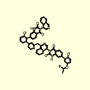 O=c1[nH]c2cc(-c3c(Cl)cccc3-c3ccnc(Cc4ncc(-n5c(=O)[nH]c6cc(-c7cc(OC(F)F)ccc7Cl)ccc6c5=O)c5ccccc45)c3)ccc2c(=O)n1-c1cncc2ccccc12